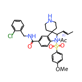 C/C=C/C1C2(CCNCC2)c2cc(C(=O)NCc3ccccc3Cl)ccc2[N+]1(C(C)=O)S(=O)(=O)c1ccc(OC)cc1